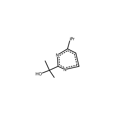 CC(C)c1ccnc(C(C)(C)O)n1